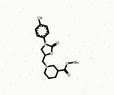 CC(C)(C)OC(=O)C1CCCN(CC2CN(c3ccc(C#N)cc3)C(=O)O2)C1